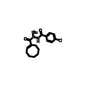 CC(C)(C)N(NC(=O)c1ccc(Cl)cc1)C(=O)C1=CCCCCCC1